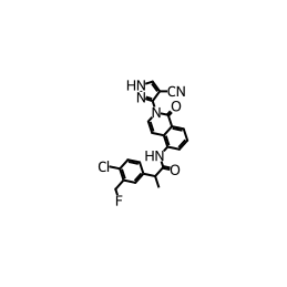 CC(C(=O)Nc1cccc2c(=O)n(-c3n[nH]cc3C#N)ccc12)c1ccc(Cl)c(CF)c1